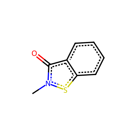 Cn1sc2ccccc2c1=O